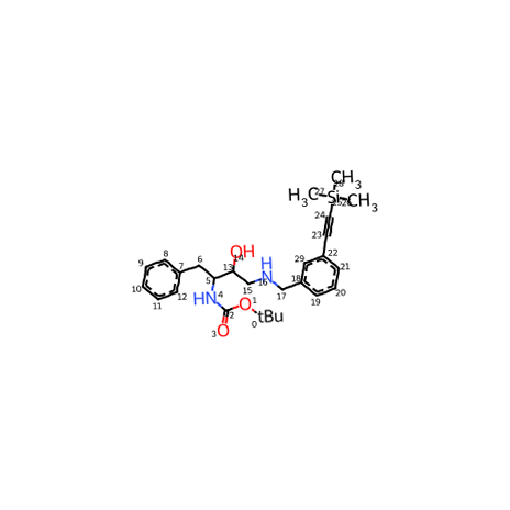 CC(C)(C)OC(=O)NC(Cc1ccccc1)C(O)CNCc1cccc(C#C[Si](C)(C)C)c1